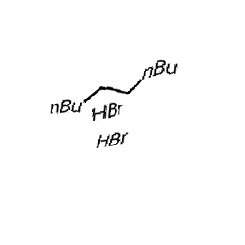 Br.Br.CCCCCCCCCC